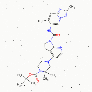 Cc1nc2cc(C)c(NC(=O)N3CCc4c(N5CCN(C(=O)OC(C)(C)C)C(C)(C)C5)ccnc43)cn2n1